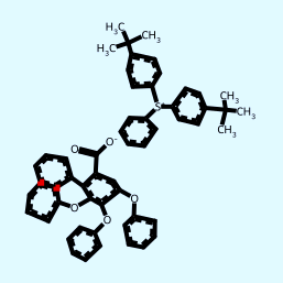 CC(C)(C)c1ccc([S+](c2ccccc2)c2ccc(C(C)(C)C)cc2)cc1.O=C([O-])c1cc(Oc2ccccc2)c(Oc2ccccc2)c(Oc2ccccc2)c1-c1ccccc1